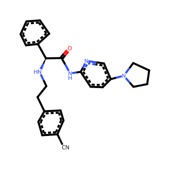 N#Cc1ccc(CCN[C@H](C(=O)Nc2ccc(N3CCCC3)cn2)c2ccccc2)cc1